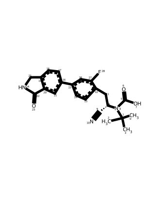 CC(C)(C)N(C(=O)O)[C@H](C#N)Cc1ccc(-c2ccc3c(c2)C(=O)NC3)cc1F